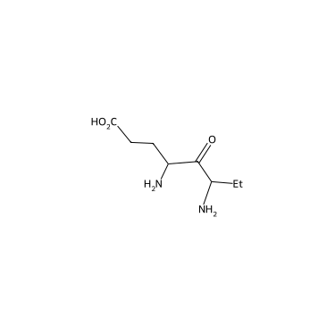 CCC(N)C(=O)C(N)CCC(=O)O